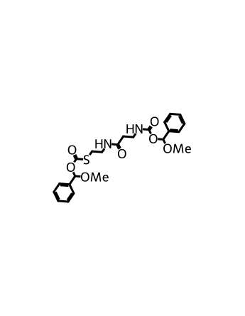 COC(OC(=O)NCCC(=O)NCCSC(=O)OC(OC)c1ccccc1)c1ccccc1